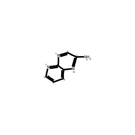 Nc1cnc2ncccc2n1